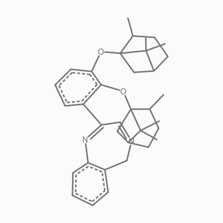 CC1CCC2CC1(Oc1cccc(C3=Nc4ccccc4CN=C3)c1OC13CC(CCC1C)C3(C)C)C2(C)C